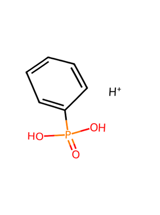 O=P(O)(O)c1ccccc1.[H+]